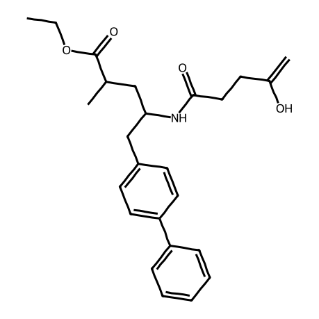 C=C(O)CCC(=O)NC(Cc1ccc(-c2ccccc2)cc1)CC(C)C(=O)OCC